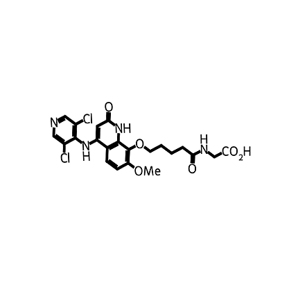 COc1ccc2c(Nc3c(Cl)cncc3Cl)cc(=O)[nH]c2c1OCCCCC(=O)NCC(=O)O